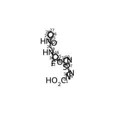 O=C(O)Cn1cnc(-c2cc3nccc(Oc4ccc(NCCC(=O)Nc5ccccc5)cc4F)c3s2)c1